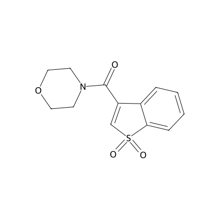 O=C(C1=CS(=O)(=O)c2ccccc21)N1CCOCC1